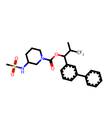 CC(C(OC(=O)N1CCCC(NS(C)(=O)=O)C1)c1cccc(-c2ccccc2)c1)C(F)(F)F